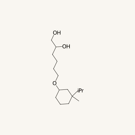 CC(C)C1(C)CCCC(OCCCCC(O)CO)C1